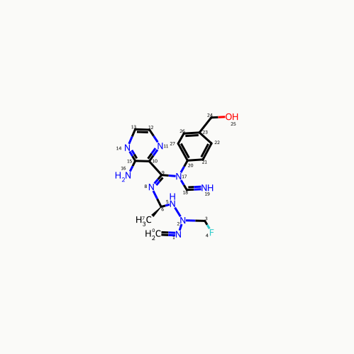 C=NN(CF)N[C@@H](C)/N=C(/c1nccnc1N)N(C=N)c1ccc(CO)cc1